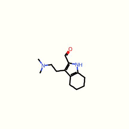 CN(C)CCc1c(C=O)[nH]c2c1CCCC2